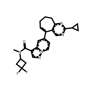 CN(C(=O)c1cnn2ccc(C3=CCCCc4nc(C5CC5)ncc43)cc12)C1CC(F)(F)C1